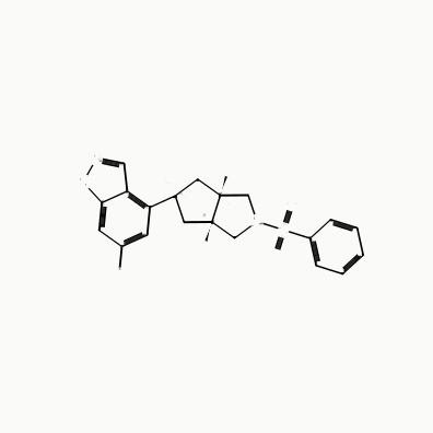 O=S(=O)(c1ccccc1)N1C[C@@H]2C[C@@](O)(c3cc(Cl)cc4[nH]ncc34)C[C@@H]2C1